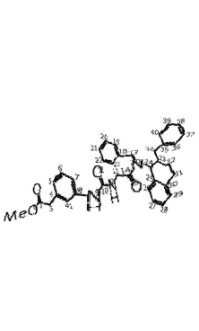 COC(=O)Cc1cccc(NC(=O)NCC(=O)N(Cc2ccccc2)C2c3ccccc3CCC2Cc2ccccc2)c1